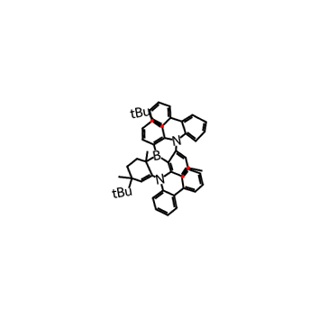 Cc1cc2c3c(c1)N(c1ccccc1-c1ccccc1)c1cc(C(C)(C)C)ccc1B3C1(C)CCC(C)(C(C)(C)C)C=C1N2c1ccccc1-c1ccccc1